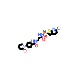 O=C(CCNC(=O)c1ccc(-n2ccccc2=O)cc1)NS(=O)(=O)c1cc2ccc(Cl)nc2s1